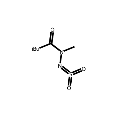 CCC(C)C(=O)N(C)N=S(=O)=O